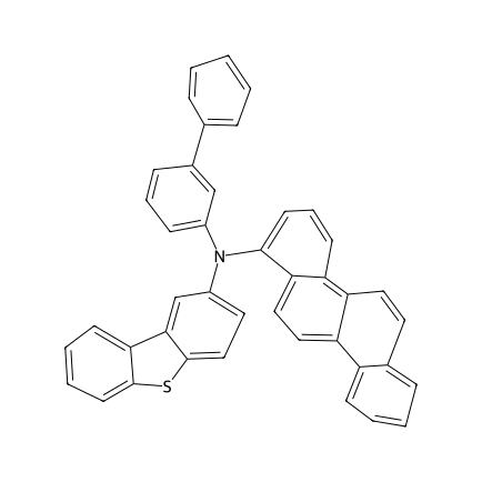 c1ccc(-c2cccc(N(c3ccc4sc5ccccc5c4c3)c3cccc4c3ccc3c5ccccc5ccc43)c2)cc1